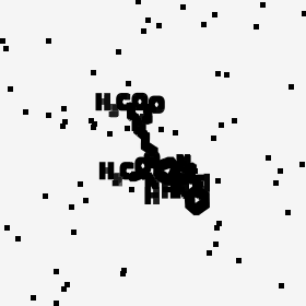 C=CC(=O)Nc1cc2c(Nc3ccccc3Cl)ncnc2cc1OCCCCN1CC(=O)O[C@H](C)C1